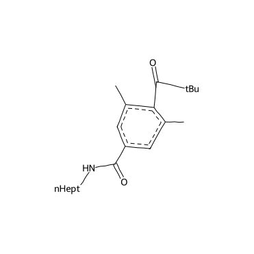 CCCCCCCNC(=O)c1cc(C)c(C(=O)C(C)(C)C)c(C)c1